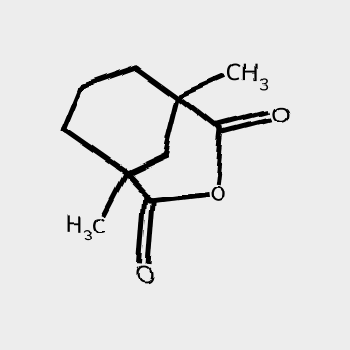 CC12CCCC(C)(C1)C(=O)OC2=O